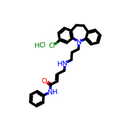 Cl.O=C(/C=C/CNCCCN1c2ccccc2CCc2ccc(Cl)cc21)Nc1ccccc1